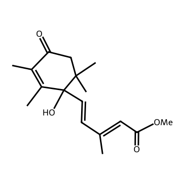 COC(=O)C=C(C)C=CC1(O)C(C)=C(C)C(=O)CC1(C)C